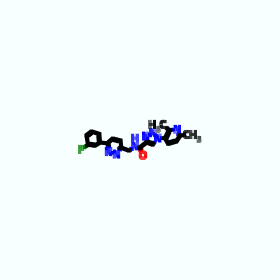 Cc1ccc(-n2cc(C(=O)NCc3ccc(-c4cccc(F)c4)nn3)nn2)c(C)n1